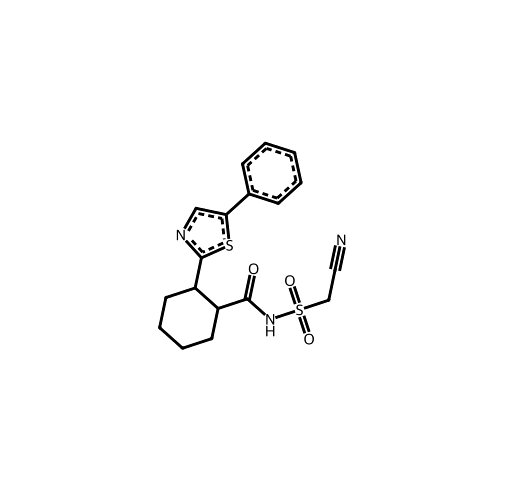 N#CCS(=O)(=O)NC(=O)C1CCCCC1c1ncc(-c2ccccc2)s1